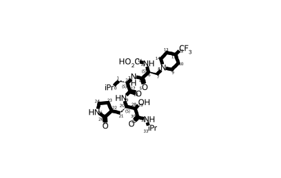 CC(C)C[C@H](NC(=O)[C@H](CN1CCC(C(F)(F)F)CC1)NC(=O)O)C(=O)N[C@@H](CC1CCNC1=O)C(O)C(=O)NC(C)C